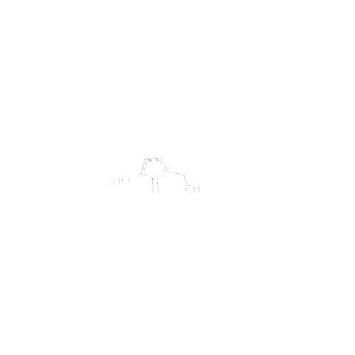 CCc1ccc(O)[nH]1